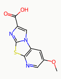 COc1cnc2sc3nc(C(=O)O)cn3c2c1